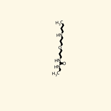 CCCCNCCCOCCCNC(=O)NCC